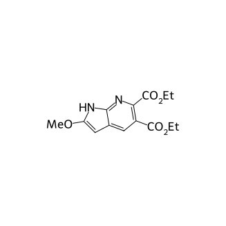 CCOC(=O)c1cc2cc(OC)[nH]c2nc1C(=O)OCC